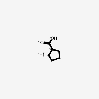 O=C(O)C1CCCC1.[Hf]